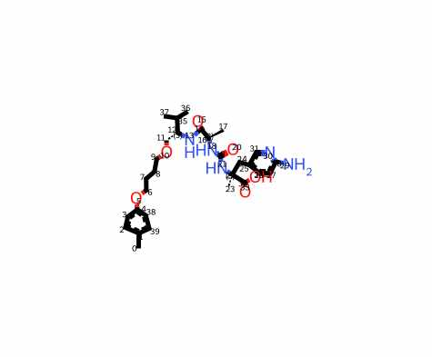 Cc1ccc(OCCCCOC[C@@H](NC(=O)[C@@H](C)NC(=O)N[C@@](C)(Cc2ccc(N)nc2)C(=O)O)C(C)C)cc1